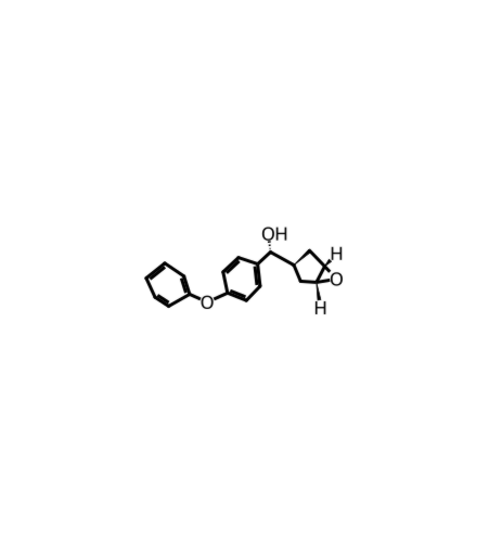 O[C@@H](c1ccc(Oc2ccccc2)cc1)[C@H]1C[C@@H]2O[C@@H]2C1